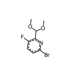 COC(OC)c1nc(Br)ccc1F